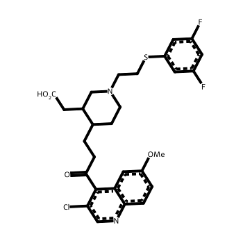 COc1ccc2ncc(Cl)c(C(=O)CCC3CCN(CCSc4cc(F)cc(F)c4)CC3CC(=O)O)c2c1